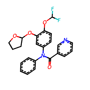 O=C(c1cccnc1)N(c1ccccc1)c1ccc(OC(F)F)c(OC2CCCO2)c1